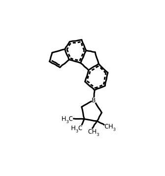 CC1(C)CB(c2ccc3c(c2)-c2c(ccc4c2C=CC4)C3)CC1(C)C